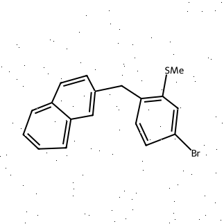 CSc1cc(Br)ccc1Cc1ccc2ccccc2c1